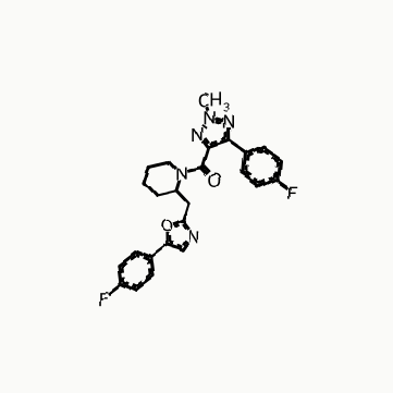 Cn1nc(C(=O)N2CCCCC2Cc2ncc(-c3ccc(F)cc3)o2)c(-c2ccc(F)cc2)n1